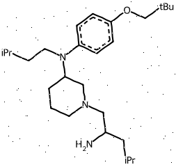 CC(C)CCN(c1ccc(OCC(C)(C)C)cc1)C1CCCN(CC(N)CC(C)C)C1